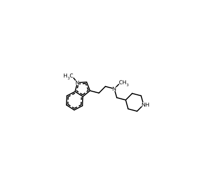 CN(CCc1cn(C)c2ccccc12)CC1CCNCC1